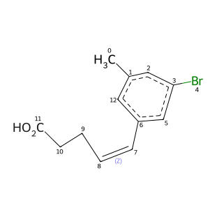 Cc1cc(Br)cc(/C=C\CCC(=O)O)c1